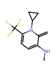 C=C1C(NC)=CC=C(C(F)(F)F)N1C1CC1